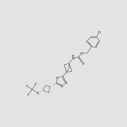 O=C(NC12CC(c3nnc([C@H]4C[C@@H](OC(F)(F)F)C4)o3)(C1)C2)OCc1ccc(Cl)cc1